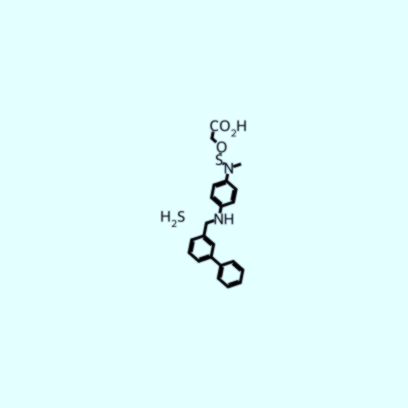 CN(SOCC(=O)O)c1ccc(NCc2cccc(-c3ccccc3)c2)cc1.S